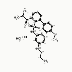 COc1ccc(-c2cccc(C(=O)N(C)C)c2S(=O)(=O)Nc2cccc(NCCN)c2)cc1.Cl.Cl